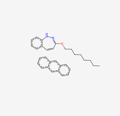 CCCCCCCCOC1=NNc2ccccc2C=C1.c1ccc2cc3ccccc3cc2c1